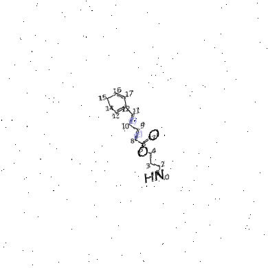 CNCCCOC(=O)/C=C/C=C/C1=CCCC=C1